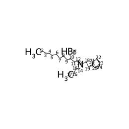 Br.CCCCCCCCCCCCN(CCCC)CCc1ccccc1